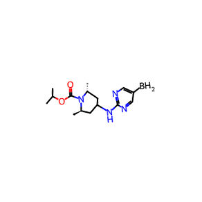 Bc1cnc(NC2C[C@@H](C)N(C(=O)OC(C)C)[C@H](C)C2)nc1